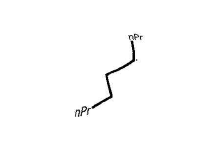 [CH2]CC[CH]CCCC[CH2]